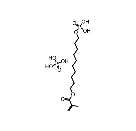 C=C(C)C(=O)OCCCCCCCCCCOP(=O)(O)O.O=P(O)(O)O